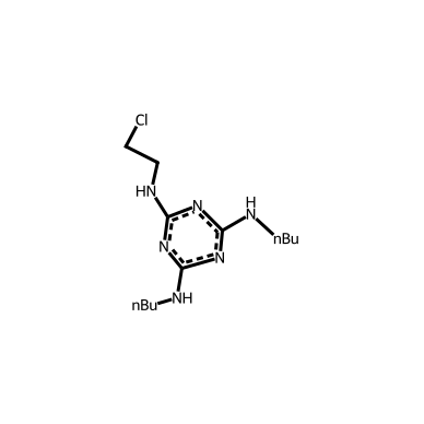 CCCCNc1nc(NCCCl)nc(NCCCC)n1